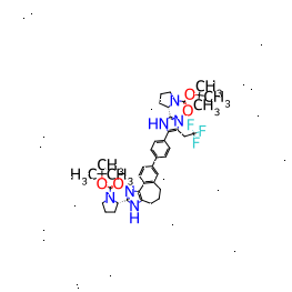 CC(C)(C)OC(=O)N1CCC[C@H]1c1nc2c([nH]1)CCCc1cc(-c3ccc(-c4[nH]c([C@@H]5CCCN5C(=O)OC(C)(C)C)nc4CC(F)(F)F)cc3)ccc1-2